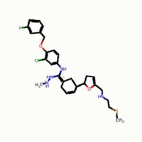 CNN/C(Nc1ccc(OCc2cccc(F)c2)c(Cl)c1)=C1\CC=CC(C2CC=C(CNCCSC)O2)C1